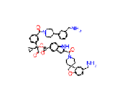 NCc1cccc(C2CCN(C(=O)c3cccc([C@@]4(C5CC5)OB(c5ccc6[nH]c(C(=O)N7CCC8(CC7)COc7ccc(CN)cc78)cc6c5)OC4=O)c3)CC2)c1